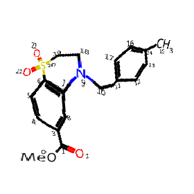 COC(=O)c1ccc2c(c1)N(Cc1ccc(C)cc1)CCS2(=O)=O